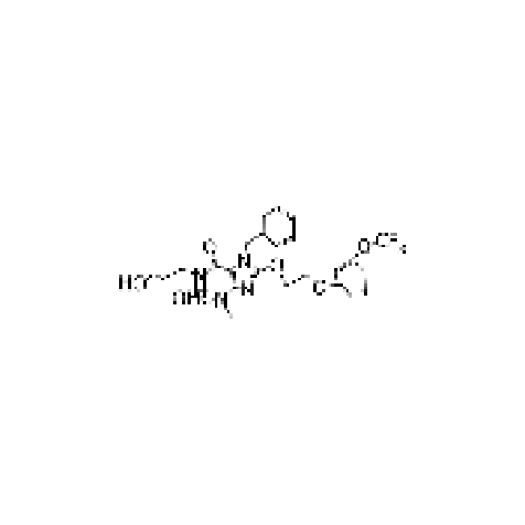 CN(C=O)c1nc(OCCOc2cccc(OC(F)(F)F)c2)n(Cc2ccccc2)c1C(=O)NCCCO